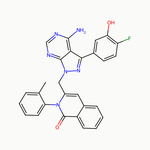 Cc1ccccc1-n1c(Cn2nc(-c3ccc(F)c(O)c3)c3c(N)ncnc32)cc2ccccc2c1=O